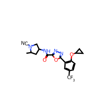 CC1CC(NC(=O)c2nnc(-c3cc(C(F)(F)F)ccc3OC3CC3)o2)CN1C#N